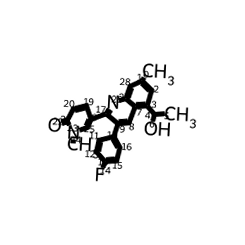 Cc1cc(C(C)O)c2cc(-c3ccc(F)cc3)c(-c3ccc(=O)n(C)c3)nc2c1